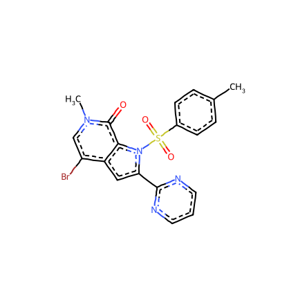 Cc1ccc(S(=O)(=O)n2c(-c3ncccn3)cc3c(Br)cn(C)c(=O)c32)cc1